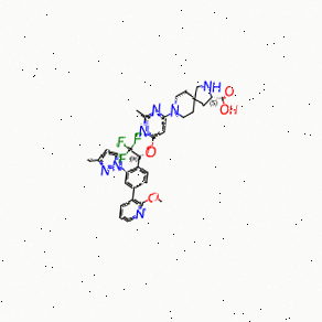 COc1ncccc1-c1ccc([C@@H](Oc2cc(N3CCC4(CC3)CN[C@H](C(=O)O)C4)nc(C)n2)C(F)(F)F)c(-n2ccc(C)n2)c1